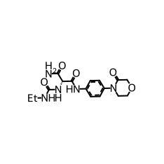 CCNC(=O)N[C@H](C(N)=O)C(=O)Nc1ccc(N2CCOCC2=O)cc1